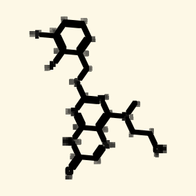 CN(CCO)c1nc(SCc2cccc(F)c2F)nc2[nH]c(=O)cnc12